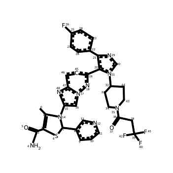 CC1=C(C(N)=O)SC(c2cccnc2)N1c1cn2nc(-c3c(-c4ccc(F)cc4)ncn3C3CCN(C(=O)CC(F)(F)F)CC3)ccc2n1